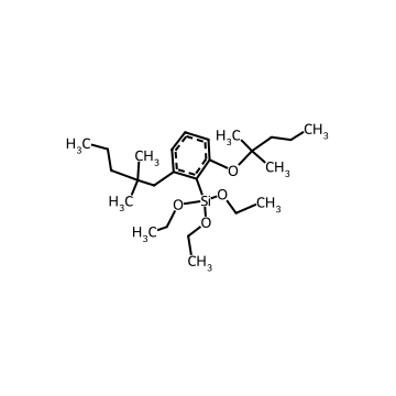 CCCC(C)(C)Cc1cccc(OC(C)(C)CCC)c1[Si](OCC)(OCC)OCC